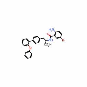 Nc1ccc(Br)cc1C(=O)NC(Cc1ccc(-c2ccccc2Oc2ccccc2)cc1)C(=O)O